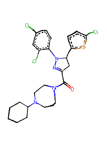 O=C(C1=NN(c2ccc(Cl)cc2Cl)C(c2ccc(Cl)s2)C1)N1CCN(C2CCCCC2)CC1